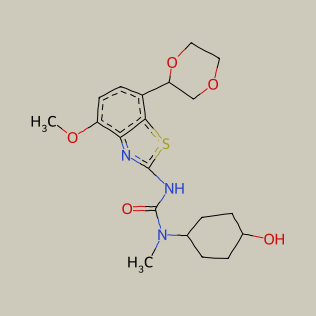 COc1ccc(C2COCCO2)c2sc(NC(=O)N(C)C3CCC(O)CC3)nc12